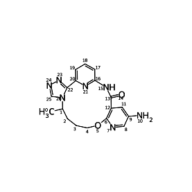 CC1CCCOc2ncc(N)cc2C(=O)Nc2cccc(n2)-c2nncn21